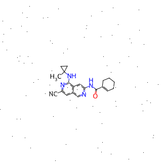 CC1(Nc2nc(C#N)cc3cnc(NC(=O)C4=CCCCC4)cc23)CC1